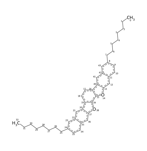 CCCCCCCCc1ccc2cc3oc4c(ccc5c6cc7cc(CCCCCCCC)ccc7cc6oc54)c3cc2c1